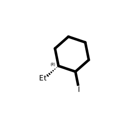 CC[C@@H]1CCCCC1I